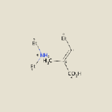 CCC=C(C)C(=O)O.CCNCC